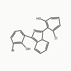 Oc1cccc(Cl)c1-c1nc(-c2cccc(Br)c2O)c2ccccn12